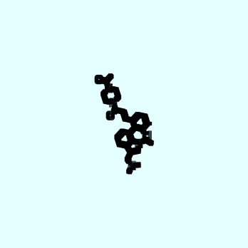 CCn1cc(CN(C)C)c2cccc(-c3c(Cl)[c]ccc3/C=C/C(=O)N3CCN(C(C)=O)CC3)c21